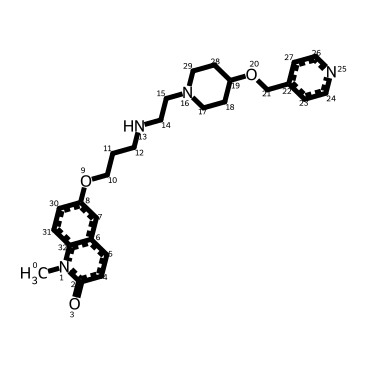 Cn1c(=O)ccc2cc(OCCCNCCN3CCC(OCc4ccncc4)CC3)ccc21